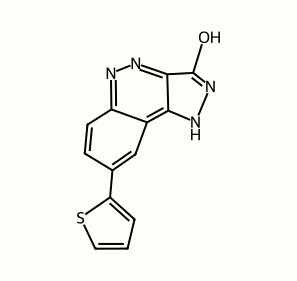 Oc1n[nH]c2c1nnc1ccc(-c3cccs3)cc12